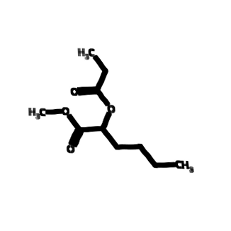 CCCCC(OC(=O)CC)C(=O)OC